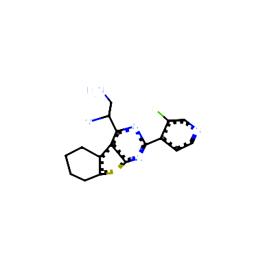 NCC(N)c1nc(-c2ccncc2F)nc2sc3c(c12)CCCC3